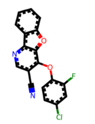 N#Cc1cnc2c(oc3ccccc32)c1Oc1ccc(Cl)cc1F